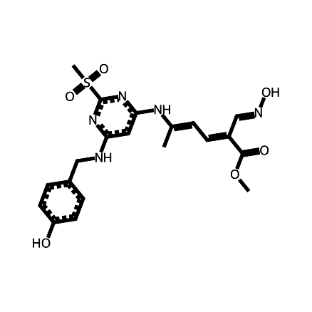 COC(=O)C(/C=N/O)=C/C=C(\C)Nc1cc(NCc2ccc(O)cc2)nc(S(C)(=O)=O)n1